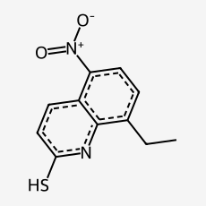 CCc1ccc([N+](=O)[O-])c2ccc(S)nc12